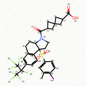 Cc1cc(S(=O)(=O)C23CCN(C(=O)C4CC5(CC(C(=O)O)C5)C4)C2CCc2cc(C(F)(C(F)(F)F)C(F)(F)F)ccc23)ccc1I